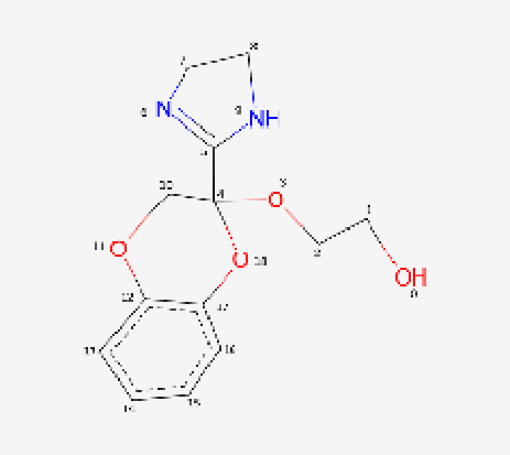 OCCOC1(C2=NCCN2)COc2ccccc2O1